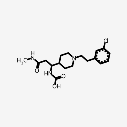 CNC(=O)CC(NC(=O)O)C1CCN(CCc2cccc(Cl)c2)CC1